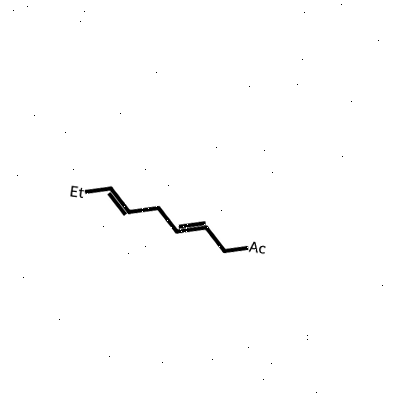 CCC=CCC=CCC(C)=O